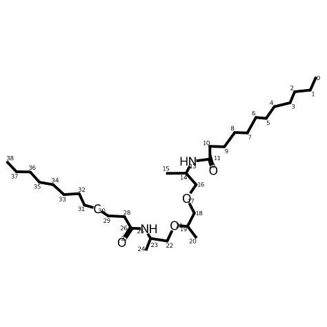 CCCCCCCCCCCC(=O)NC(C)COCC(C)OCC(C)NC(=O)CCCCCCCCCCC